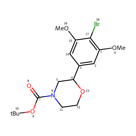 COc1cc(C2CN(C(=O)OC(C)(C)C)CCO2)cc(OC)c1Br